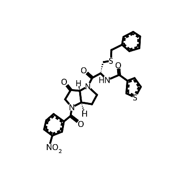 O=C(N[C@@H](CSCc1ccccc1)C(=O)N1CC[C@@H]2[C@H]1C(=O)CN2C(=O)c1cccc([N+](=O)[O-])c1)c1ccsc1